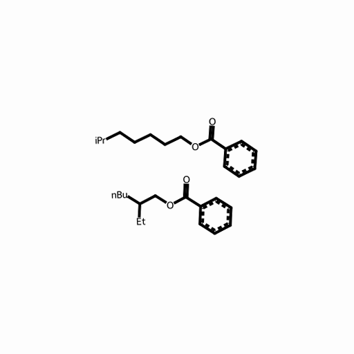 CC(C)CCCCCOC(=O)c1ccccc1.CCCCC(CC)COC(=O)c1ccccc1